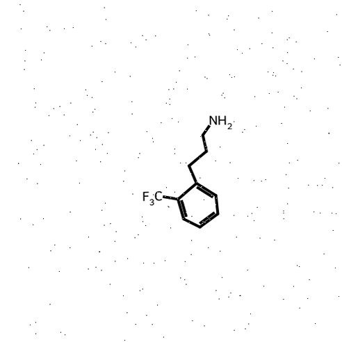 NCCCc1ccccc1C(F)(F)F